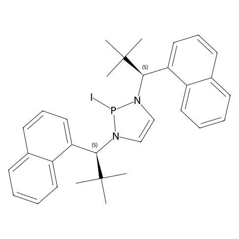 CC(C)(C)[C@@H](c1cccc2ccccc12)N1C=CN([C@H](c2cccc3ccccc23)C(C)(C)C)P1I